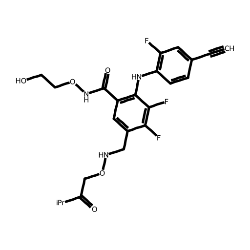 C#Cc1ccc(Nc2c(C(=O)NOCCO)cc(CNOCC(=O)C(C)C)c(F)c2F)c(F)c1